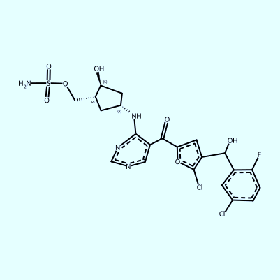 NS(=O)(=O)OC[C@H]1C[C@@H](Nc2ncncc2C(=O)c2cc(C(O)c3cc(Cl)ccc3F)c(Cl)o2)C[C@@H]1O